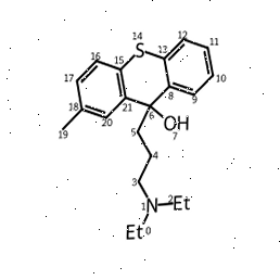 CCN(CC)CCCC1(O)c2ccccc2Sc2ccc(C)cc21